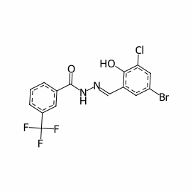 O=C(NN=Cc1cc(Br)cc(Cl)c1O)c1cccc(C(F)(F)F)c1